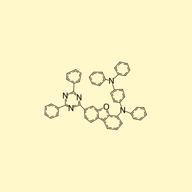 c1ccc(-c2nc(-c3ccccc3)nc(-c3ccc4c(c3)oc3c(N(c5ccccc5)c5ccc(N(c6ccccc6)c6ccccc6)cc5)cccc34)n2)cc1